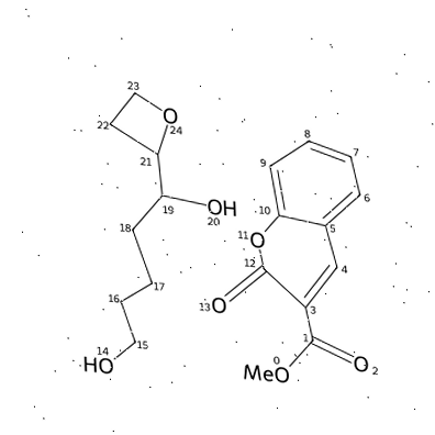 COC(=O)c1cc2ccccc2oc1=O.OCCCCC(O)C1CCO1